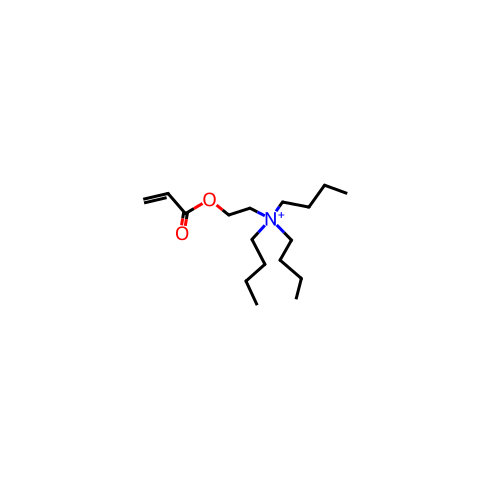 C=CC(=O)OCC[N+](CCCC)(CCCC)CCCC